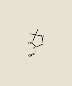 CC1(C)N[C@@H](C=O)CO1